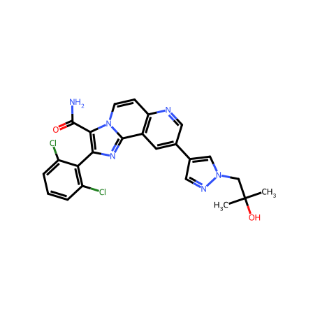 CC(C)(O)Cn1cc(-c2cnc3ccn4c(C(N)=O)c(-c5c(Cl)cccc5Cl)nc4c3c2)cn1